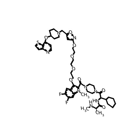 CN[C@@H](C)C(=O)NC(C(=O)N1CCN(C(=O)c2c(OCCOCCOCCOc3cc(CN4CCC(Oc5ccnc6ccsc56)CC4)on3)c3cc(F)c(F)cc3n2C)CC1)C1CCCCC1